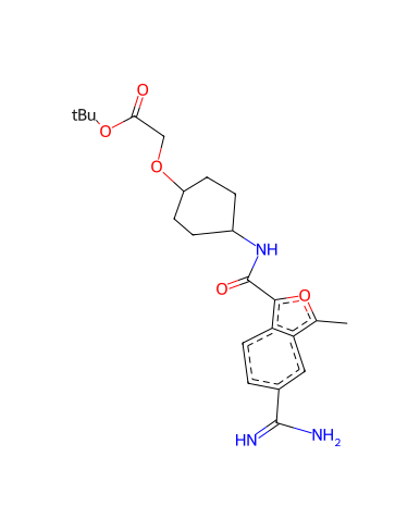 Cc1oc(C(=O)NC2CCC(OCC(=O)OC(C)(C)C)CC2)c2ccc(C(=N)N)cc12